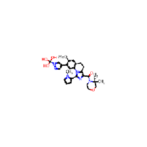 COc1cc2c(cc1-c1cnn(C(O)(O)O)c1)-n1c(-c3cccn3C)nc(C(=O)N3CCOCC3(C)C)c1CC2